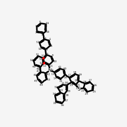 c1ccc(-c2ccc(-c3ccc(N(c4ccc(-c5ccc6c(sc7ccccc76)c5-c5ccc6ccccc6c5)cc4)c4ccccc4-c4ccccc4)cc3)cc2)cc1